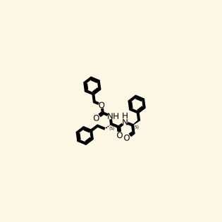 O=C[C@H](Cc1ccccc1)NC(=O)[C@H](CCc1ccccc1)NC(=O)OCc1ccccc1